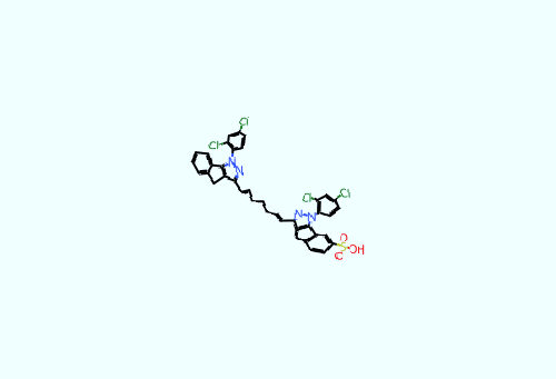 O=S(=O)(O)c1ccc2c(c1)-c1c(c(/C=C/CCC/C=C/c3nn(-c4ccc(Cl)cc4Cl)c4c3Cc3ccccc3-4)nn1-c1ccc(Cl)cc1Cl)C2